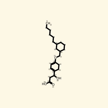 CCCCCCC1CCCC(COC2=CC=C(C(O)CC(=O)O)CC2)C1